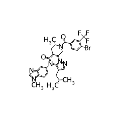 CC(C)Cc1cnn2c3c(c(=O)n(-c4ccc5c(c4)ncn5C)c12)C[C@H](C)N(C(=O)c1ccc(Br)c(C(F)(F)F)c1)C3